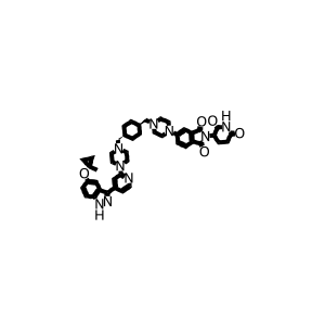 CC1(Oc2ccc3[nH]nc(-c4ccnc(N5CCN(C[C@H]6CC[C@H](CN7CCN(c8ccc9c(c8)C(=O)N(C8CCC(=O)NC8=O)C9=O)CC7)CC6)CC5)c4)c3c2)CC1